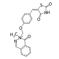 C[N+]1(COc2ccc(C=C3SC(=O)NC3=O)cc2)N=Cc2ccccc2C1=O